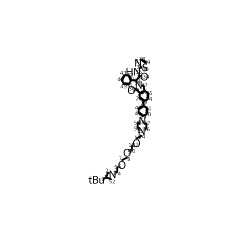 CC(C)(C)C1CN(CCOCCOCCOCCN2CCN(c3ccc(-c4ccc5c(c4)C(=O)N(C(C(=O)Nc4nccs4)c4ccccc4)C5)cc3)CC2)C1